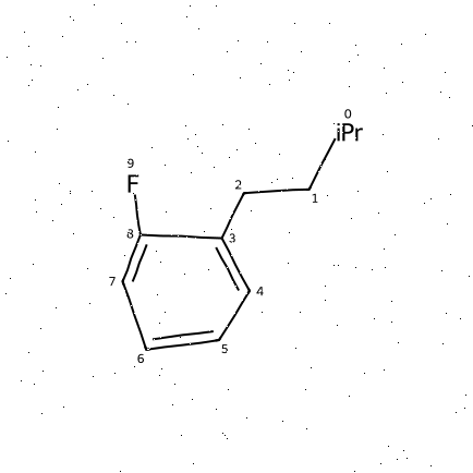 CC(C)CCc1ccccc1F